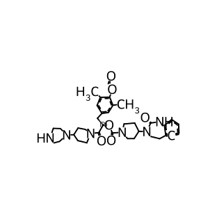 Cc1cc(C[C@@H](OC(=O)N2CCC(N3CCc4ccccc4NC3=O)CC2)C(=O)N2CCC(N3CCNCC3)CC2)cc(C)c1OC=O